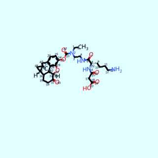 CCN(CCNC(=O)[C@H](CCCCN)NC(=O)CC(=O)O)C(=O)Oc1ccc2c3c1O[C@H]1C(=O)CCC4[C@@H]5CC5(C2)C[C@@]341